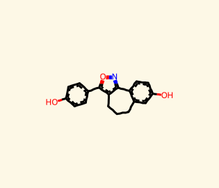 Oc1ccc(-c2onc3c2CCCc2cc(O)ccc2-3)cc1